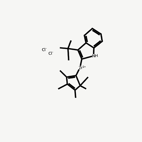 CC1=C(C)C(C)(C)[C]([Zr+2][c]2[nH]c3ccccc3c2C(C)(C)C)=C1C.[Cl-].[Cl-]